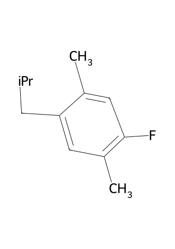 Cc1cc(CC(C)C)c(C)cc1F